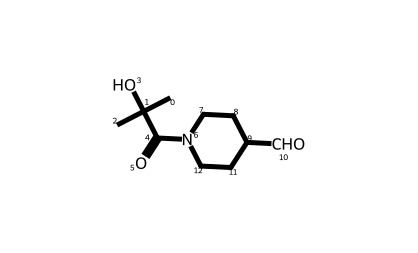 CC(C)(O)C(=O)N1CCC(C=O)CC1